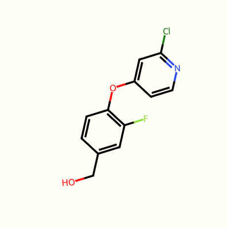 OCc1ccc(Oc2ccnc(Cl)c2)c(F)c1